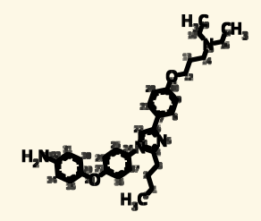 CCCCc1nc(-c2ccc(OCCCN(CC)CC)cc2)cn1-c1ccc(Oc2ccc(N)cc2)cc1